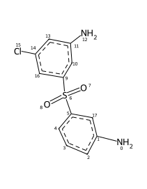 Nc1cccc(S(=O)(=O)c2cc(N)cc(Cl)c2)c1